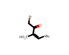 CCCC/C=C(/C(=O)O)C(=O)CBr